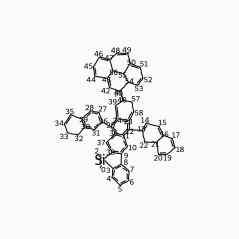 C[Si]1(C)c2ccccc2-c2cc3c(C4=CC=C5C=CC=CC5C4)c4c(c(-c5ccc6c(c5)CCC=C6)c3cc21)=CC([C@H]1C=C2C=CC=C3C=CC5=CC=CC1C5C32)CC=4